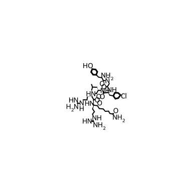 CC(C)C[C@H](NC(=O)[C@H](Cc1ccc(Cl)cc1)NC(=O)CN(C)C(=O)[C@@H](N)Cc1ccc(O)cc1)C(=O)N[C@@H](CCCNC(=N)N)C(=O)N[C@H](CCCNC(=N)N)C(=O)CCCCCC(N)=O